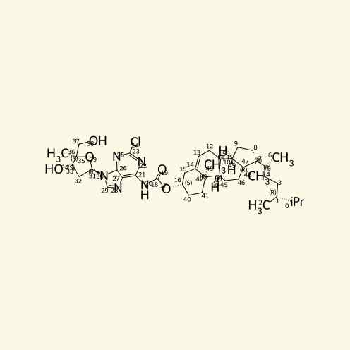 CC(C)[C@H](C)CC[C@@H](C)[C@H]1CC[C@H]2[C@@H]3CC=C4C[C@@H](OC(=O)Nc5nc(Cl)nc6c5ncn6[C@H]5C[C@H](O)[C@@](C)(CO)O5)CC[C@]4(C)[C@H]3CC[C@]12C